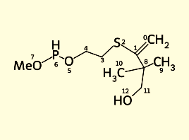 C=C(SCCOPOC)C(C)(C)CO